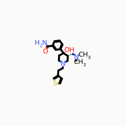 CN(C)C[C@@H]1CN(CCc2ccsc2)CC[C@@]1(O)c1cccc(C(N)=O)c1